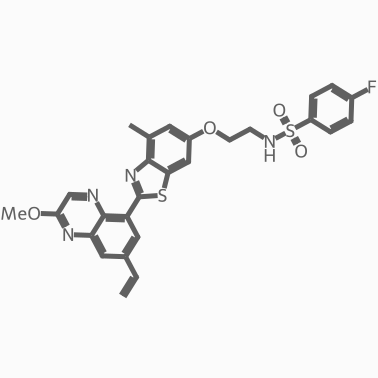 C=Cc1cc(-c2nc3c(C)cc(OCCNS(=O)(=O)c4ccc(F)cc4)cc3s2)c2ncc(OC)nc2c1